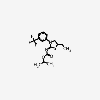 CCC1CN(c2cccc(C(F)(F)F)c2)C(=NC(=O)OC(C)C)S1